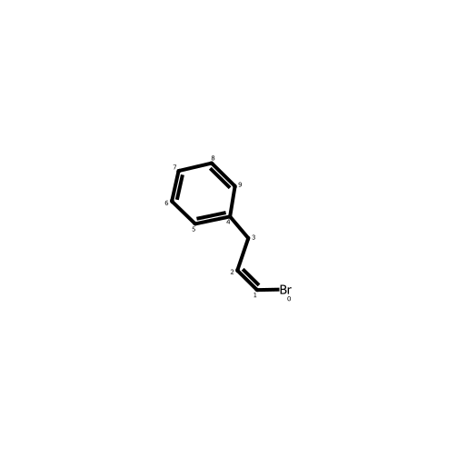 Br/C=C\Cc1ccccc1